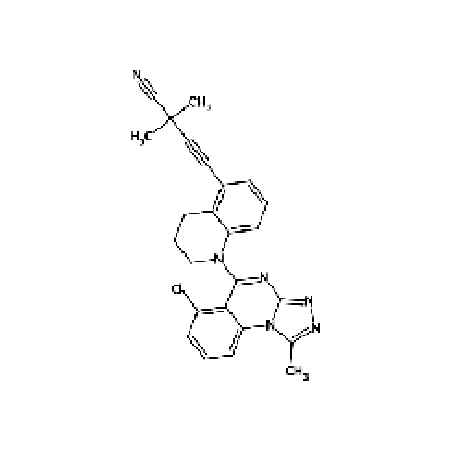 Cc1nnc2nc(N3CCCc4c(C#CC(C)(C)C#N)cccc43)c3c(Cl)cccc3n12